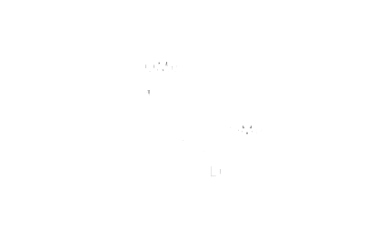 [CH2]CC(CCC(C)OC)OC